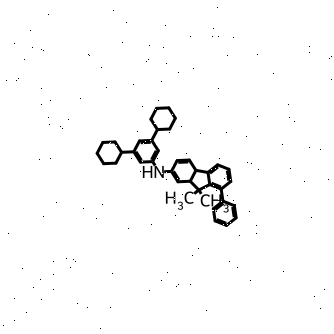 CC1(C)c2c(-c3ccccc3)cccc2C2C=CC(Nc3cc(C4CCCCC4)cc(C4CCCCC4)c3)=CC21